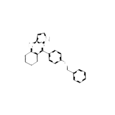 c1ccc(COc2ccc(-c3c4c(nc5ccnn35)CCCC4)cc2)cc1